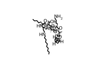 CCCCCCCCCCNCCC(=O)N[C@@H](CCCCC)C(=O)N[C@H](C(=O)N[C@@H](C)C(=O)N[C@@H](CCCCN)C(=O)N[C@@H](C)B1O[C@@H]2C[C@@H]3C[C@@H](C3(C)C)[C@]2(C)O1)[C@@H](C)O